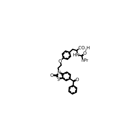 CCCC(=O)NC(Cc1ccc(OCCn2c(=O)sc3cc(C(=O)c4ccccc4)ccc32)cc1)C(=O)O